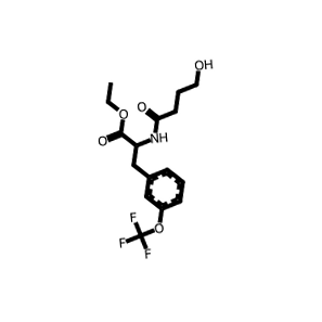 CCOC(=O)C(Cc1cccc(OC(F)(F)F)c1)NC(=O)CCCO